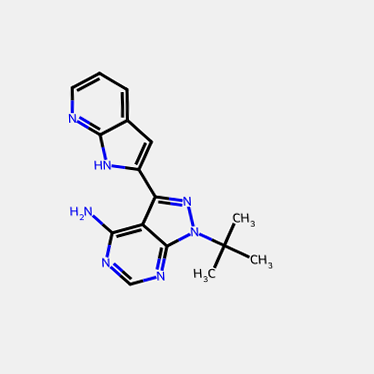 CC(C)(C)n1nc(-c2cc3cccnc3[nH]2)c2c(N)ncnc21